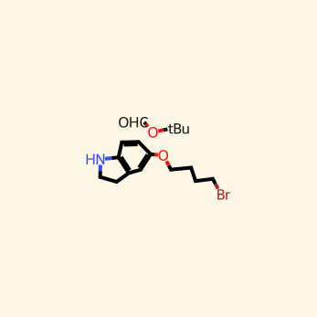 BrCCCCOc1ccc2c(c1)CCN2.CC(C)(C)OC=O